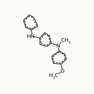 COc1ccc(N(C)c2ccc(Nc3ccccc3)cc2)cc1